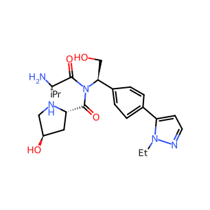 CCn1nccc1-c1ccc([C@H](CO)N(C(=O)[C@@H]2C[C@@H](O)CN2)C(=O)[C@@H](N)C(C)C)cc1